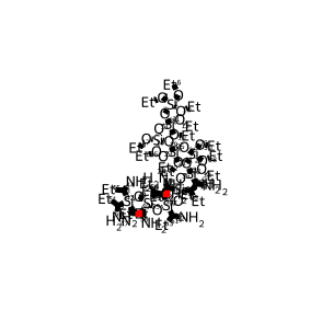 CCO[Si](OCC)(OCC)O[Si](OCC)(OCC)O[Si](OCC)(OCC)O[Si](OCC)(OCC)O[Si](OCC)(OCC)O[Si](OCC)(O[Si](O[Si](O[Si](O[Si](C(N)CC)(C(N)CC)C(N)CC)(C(N)CC)C(N)CC)(C(N)CC)C(N)CC)(C(N)CC)C(N)CC)C(N)CC